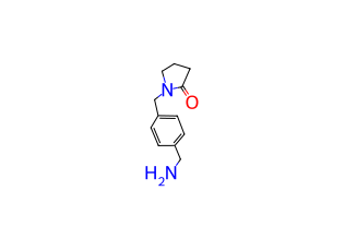 NCc1ccc(CN2CCCC2=O)cc1